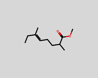 CCC(C)=CCCC(C)C(=O)OC